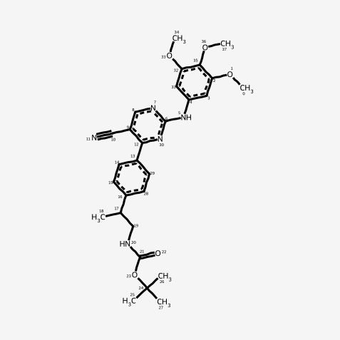 COc1cc(Nc2ncc(C#N)c(-c3ccc(C(C)CNC(=O)OC(C)(C)C)cc3)n2)cc(OC)c1OC